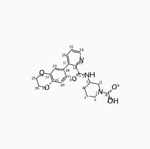 O=C(NC1CCCN(C(=O)O)C1)c1ncccc1-c1ccc2c(c1)OCCO2